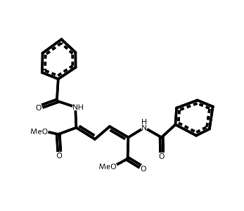 COC(=O)C(=CC=C(NC(=O)c1ccccc1)C(=O)OC)NC(=O)c1ccccc1